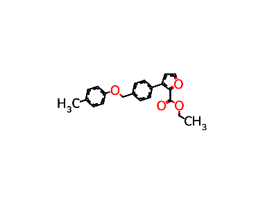 CCOC(=O)c1occc1-c1ccc(COc2ccc(C)cc2)cc1